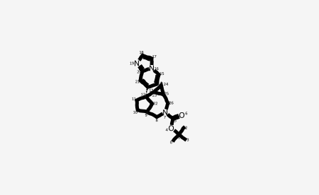 CC(C)(C)OC(=O)N1CC2CC[C@](c3ccn4ccnc4c3)(C2)C2CC2C1